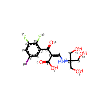 O=C(O)C(=CNC(CO)(CO)CO)C(=O)c1cc(I)cc(F)c1F